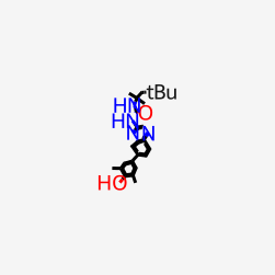 Cc1cc(-c2ccc3ncc(NC(=O)NC(C)(C)CC(C)(C)C)nc3c2)cc(C)c1O